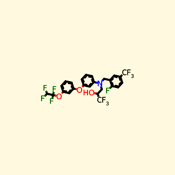 OC(CN(Cc1cc(C(F)(F)F)ccc1F)c1cccc(Oc2cccc(OC(F)(F)C(F)F)c2)c1)C(F)(F)F